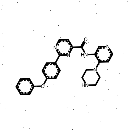 O=C(Nc1cnccc1N1CCNCC1)c1ccnc(-c2ccc(Oc3ccccc3)cc2)n1